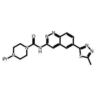 Cc1nnc(-c2ccc3nnc(NC(=O)N4CCN(C(C)C)CC4)cc3c2)s1